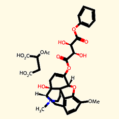 CC(=O)OC(CC(=O)O)C(=O)O.COc1ccc2c3c1O[C@H]1C(OC(=O)[C@H](O)[C@@H](O)C(=O)Oc4ccccc4)=CC[C@@]4(O)[C@@H](C2)N(C)CC[C@]314